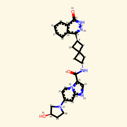 O=C(N[C@H]1CC2(C1)C[C@H](c1n[nH]c(=O)c3ccccc31)C2)c1cnc2cc(N3CC[C@@H](O)C3)ccn12